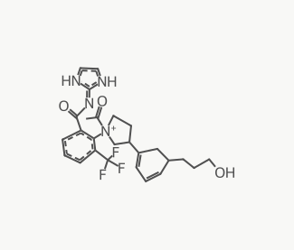 CC(=O)[N+]1(c2c(C(=O)N=c3[nH]cc[nH]3)cccc2C(F)(F)F)CCC(C2=CC=CC(CCCO)C2)C1